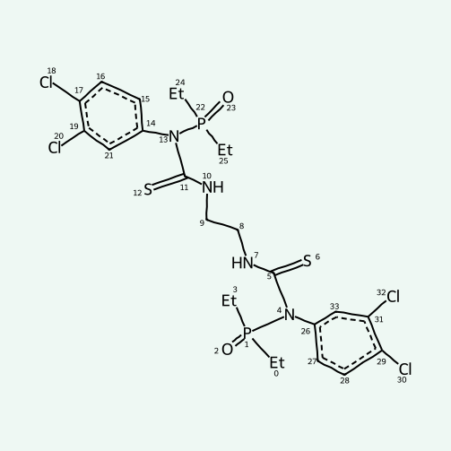 CCP(=O)(CC)N(C(=S)NCCNC(=S)N(c1ccc(Cl)c(Cl)c1)P(=O)(CC)CC)c1ccc(Cl)c(Cl)c1